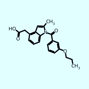 CCCOc1cccc(C(=O)n2c(C)cc3c(CC(=O)O)cccc32)c1